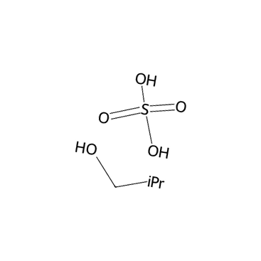 CC(C)CO.O=S(=O)(O)O